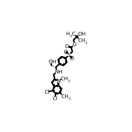 Cc1cc2c(cc(CN[C@H](CO)c3ccc(S(=O)(=O)CC(=O)OCC(C)(C)O)cc3)n2C)c(Cl)c1Cl